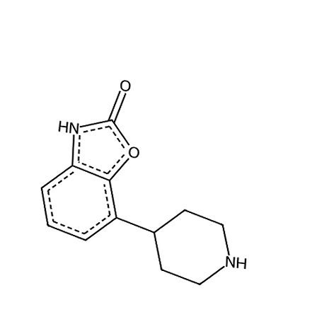 O=c1[nH]c2cccc(C3CCNCC3)c2o1